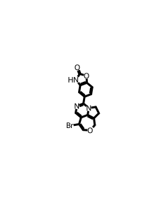 O=c1[nH]c2cc(C3=NC=C4C(Br)=COCC5=C4N3CC5)ccc2o1